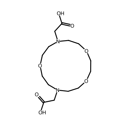 O=C(O)CN1CCOCCOCCN(CC(=O)O)CCOCC1